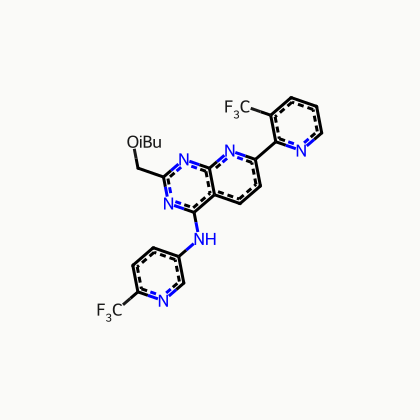 CC(C)COCc1nc(Nc2ccc(C(F)(F)F)nc2)c2ccc(-c3ncccc3C(F)(F)F)nc2n1